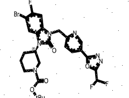 CC(C)(C)OC(=O)N1CCC[C@@H](n2c(=O)n(Cc3ccc(-c4nnc(C(F)F)o4)cn3)c3cc(F)c(Br)cc32)C1